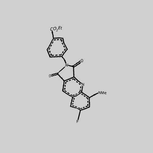 CCOC(=O)c1ccc(N2C(=O)c3cc4cc(F)cc(NC)c4nc3C2=O)cc1